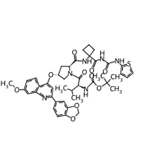 COc1ccc2c(O[C@@H]3C[C@@H](C(=O)NC4(C(=O)NC(=O)Nc5cccs5)CCC4)N(C(=O)[C@@H](NC(=O)OC(C)(C)C)C(C)C)C3)cc(-c3ccc4c(c3)OCO4)nc2c1